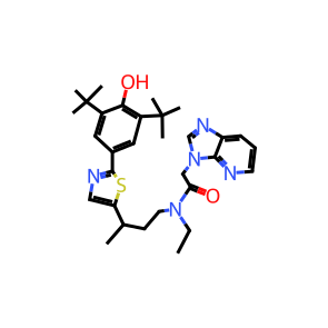 CCN(CCC(C)c1cnc(-c2cc(C(C)(C)C)c(O)c(C(C)(C)C)c2)s1)C(=O)Cn1cnc2cccnc21